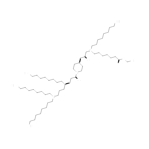 CCCCCCCCC/C(=C\CC(=O)N1CCC(=CC(=O)CN(CCCCCCCCC)CCCCCCC(=O)OCC)CC1)CCCN(CCCCCCCCC)CCCCCCCCC